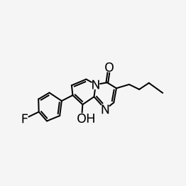 CCCCc1cnc2c(O)c(-c3ccc(F)cc3)ccn2c1=O